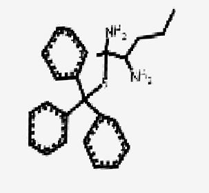 CCCC(N)C(C)(N)SC(c1ccccc1)(c1ccccc1)c1ccccc1